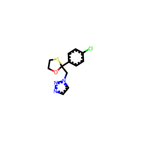 Clc1ccc(C2(Cn3ccnn3)OCCS2)cc1